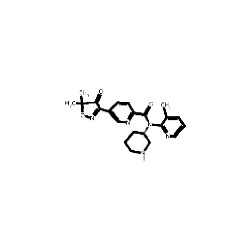 Cc1cccnc1N(C(=O)c1ccc(C2=NOC(C)(C)C2=O)cn1)[C@@H]1CCCNC1